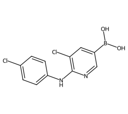 OB(O)c1cnc(Nc2ccc(Cl)cc2)c(Cl)c1